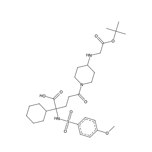 COc1ccc(S(=O)(=O)NC(CCC(=O)N2CCC(NCC(=O)OC(C)(C)C)CC2)(C(=O)O)C2CCCCC2)cc1